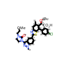 COCCN1CCN(c2nn(C)c3ccc(-c4nc5cc(C)c([C@H](OC(C)(C)C)C(=O)O)c(-c6ccc(Cl)cc6)c5s4)cc23)C1=O